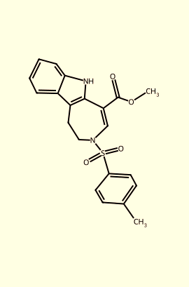 COC(=O)C1=CN(S(=O)(=O)c2ccc(C)cc2)CCc2c1[nH]c1ccccc21